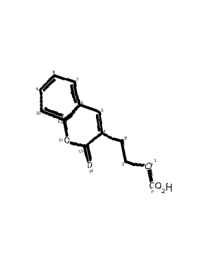 O=C(O)OCCc1cc2ccccc2oc1=O